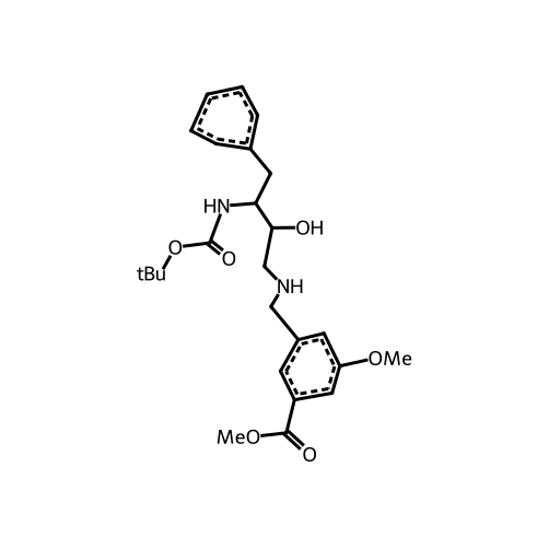 COC(=O)c1cc(CNCC(O)C(Cc2ccccc2)NC(=O)OC(C)(C)C)cc(OC)c1